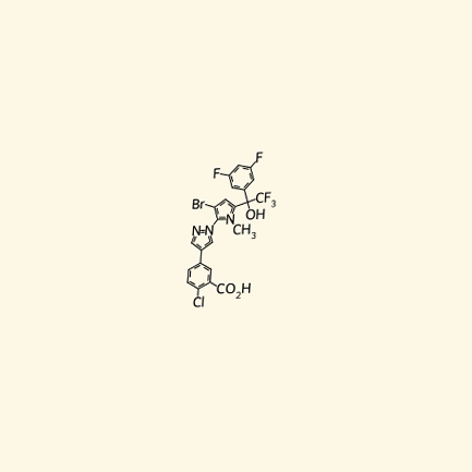 Cn1c(C(O)(c2cc(F)cc(F)c2)C(F)(F)F)cc(Br)c1-n1cc(-c2ccc(Cl)c(C(=O)O)c2)cn1